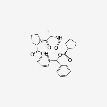 C[C@H](NC(=O)[C@@H]1CCC[C@H]1C(=O)OC(c1ccccc1)c1ccccc1)C(=O)N1CCC[C@H]1C(=O)O